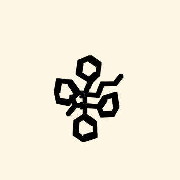 CCCC[Si](c1ccccc1)(c1ccccc1)[Si](c1ccccc1)(c1ccccc1)C(C)C